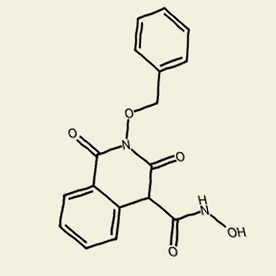 O=C(NO)C1C(=O)N(OCc2ccccc2)C(=O)c2ccccc21